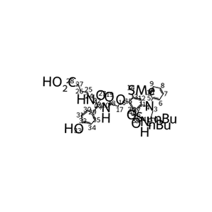 CCCCC1(CCCC)CN(c2ccccc2)c2cc(SC)c(OCC(=O)N[C@@H](C(=O)NCCCC(=O)O)c3ccc(O)cc3)cc2S(=O)(=O)N1